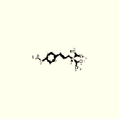 COc1ccc(/C=C/CP(=O)(C(C)O)C(C)O)cc1